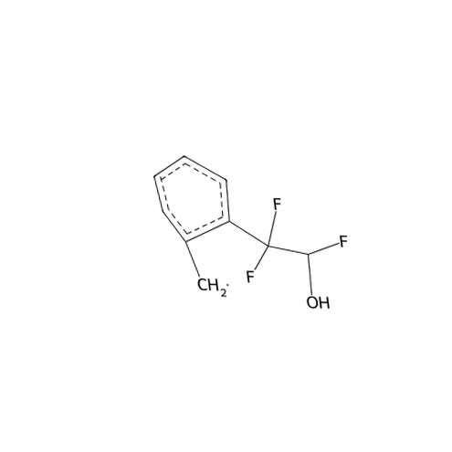 [CH2]c1ccccc1C(F)(F)C(O)F